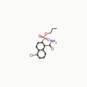 CCCOS(=O)(=O)c1ccc2c(Cl)cccc2c1C(N)=O